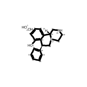 Cl.Cl.Oc1cccc2c1[C@H](c1ccccc1)CN1CCNC[C@@H]21